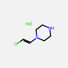 Cl.ClC=CN1CCNCC1